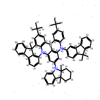 CC(C)(C)c1ccc2c(c1)B1c3cc(C(C)(C)C)cc4c3N(c3cc(N5c6ccccc6C6(C)CCCCC56C)cc(c31)N2c1ccc2c(c1)-c1ccccc1C2(C)C)c1cccc2c1C4(C)c1ccccc1-2